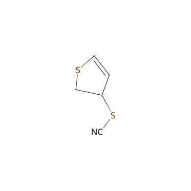 N#CSC1C=CSC1